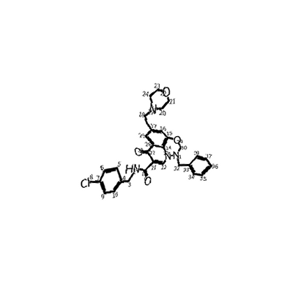 O=C(NCc1ccc(Cl)cc1)c1cn2c3c(cc(CN4CCOCC4)cc3c1=O)OCN2Cc1ccccc1